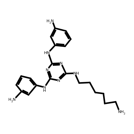 NCCCCCCNc1nc(Nc2cccc(N)c2)nc(Nc2cccc(N)c2)n1